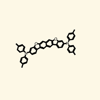 CC1=CC=C(N(c2ccc(C)cc2)c2ccc3c(c2)oc2cc4cc5oc6cc(N(c7ccc(C)cc7)c7ccc(C)cc7)ccc6c5cc4cc23)CC1